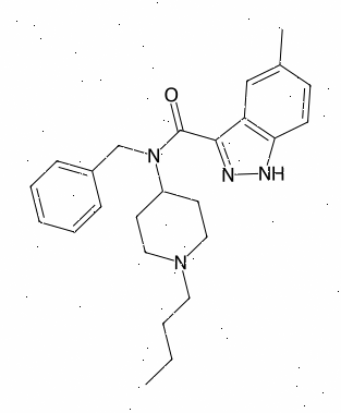 CCCCN1CCC(N(Cc2ccccc2)C(=O)c2n[nH]c3ccc(C)cc23)CC1